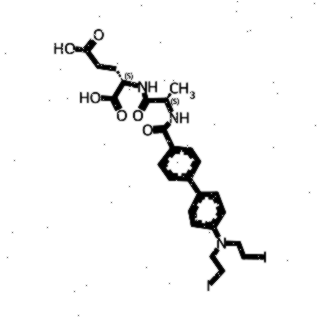 C[C@H](NC(=O)c1ccc(-c2ccc(N(CCI)CCI)cc2)cc1)C(=O)N[C@@H](CCC(=O)O)C(=O)O